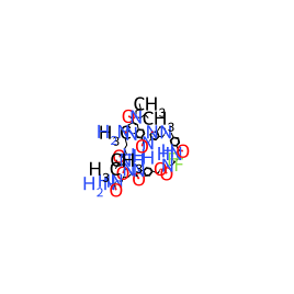 CCCCCCC(=O)NC(C(=O)NC(CCCNC(N)=O)C(=O)Nc1ccc(COC(=O)NCC(F)(F)CNC(=O)c2ccc(CN3CCc4ncc(NC(=O)c5ccc6c(c5)N=C(N)CC(C(=O)N(CCC)CCC)=C6)cc4C3)cc2)cc1)C(C)C